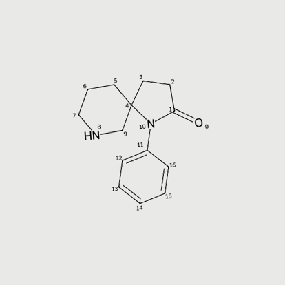 O=C1CCC2(CCCNC2)N1c1ccccc1